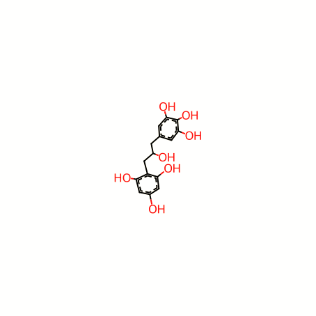 Oc1cc(O)c(CC(O)Cc2cc(O)c(O)c(O)c2)c(O)c1